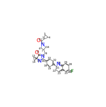 O=C(C1CC1)N1CC(CN2C(=O)C3(CC3)N=C2c2ccc(C3CC=c4cc(F)ccc4=N3)cc2)C1